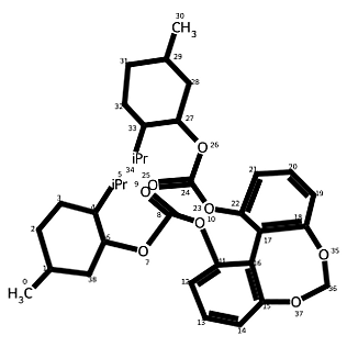 CC1CCC(C(C)C)C(OC(=O)Oc2cccc3c2-c2c(cccc2OC(=O)OC2CC(C)CCC2C(C)C)OCO3)C1